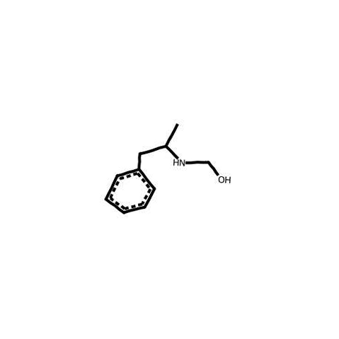 CC(Cc1ccccc1)NCO